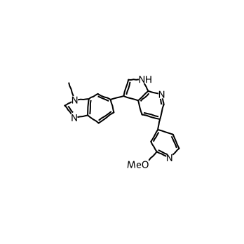 COc1cc(-c2cnc3[nH]cc(-c4ccc5ncn(C)c5c4)c3c2)ccn1